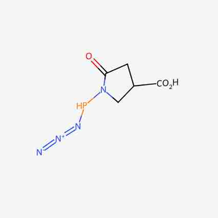 [N-]=[N+]=NPN1CC(C(=O)O)CC1=O